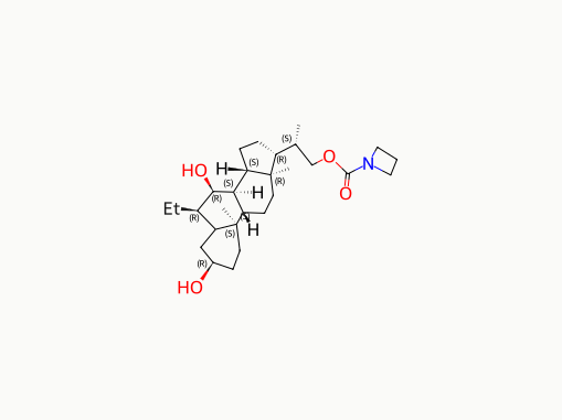 CC[C@@H]1C2C[C@H](O)CC[C@]2(C)[C@H]2CC[C@]3(C)[C@@H]([C@H](C)COC(=O)N4CCC4)CC[C@H]3[C@@H]2[C@@H]1O